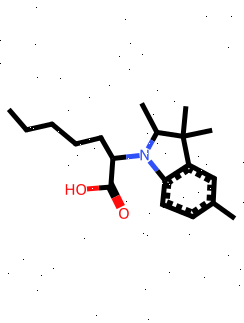 CCCCCC(C(=O)O)N1c2ccc(C)cc2C(C)(C)C1C